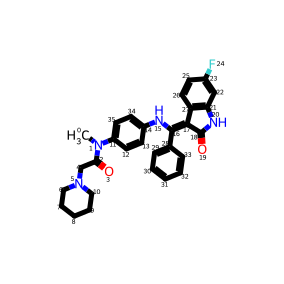 CN(C(=O)CN1CCCCC1)c1ccc(NC(=C2C(=O)Nc3cc(F)ccc32)c2ccccc2)cc1